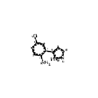 Nc1ccc(Cl)cc1-c1ccn[nH]1